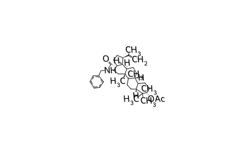 C=C(C)[C@@H]1CC[C@]2(C(=O)NCc3ccccc3)CC[C@]3(C)[C@H](CC[C@@H]4[C@@]5(C)CC[C@H](OC(C)=O)C(C)(C)[C@@H]5CC[C@]43C)[C@@H]12